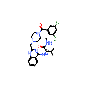 CNC(=O)[C@@H](Nc1nc(CN2CCN(C(=O)c3cc(Cl)cc(Cl)c3)CC2)nc2ccccc12)C(C)C